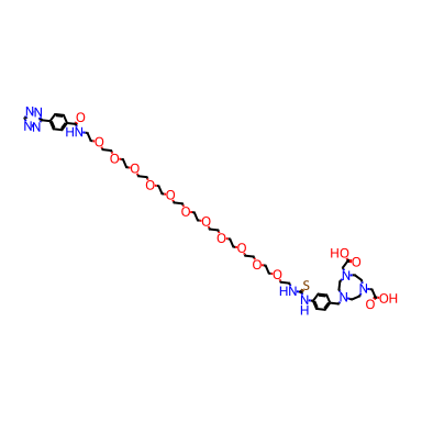 O=C(O)CN1CCN(CC(=O)O)CCN(Cc2ccc(NC(=S)NCCOCCOCCOCCOCCOCCOCCOCCOCCOCCOCCOCCNC(=O)c3ccc(-c4nncnn4)cc3)cc2)CC1